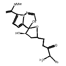 C=C(NC)c1ccc(C2(C#N)OC(CCC(=O)C(N)C(C)C)C[C@H]2O)n1/N=C\C